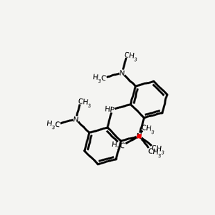 CN(C)c1cccc(N(C)C)c1Pc1c(N(C)C)cccc1N(C)C